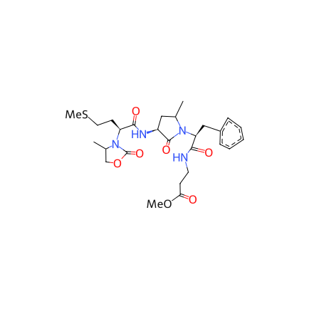 COC(=O)CCNC(=O)[C@H](Cc1ccccc1)N1C(=O)[C@@H](NC(=O)[C@H](CCSC)N2C(=O)OCC2C)CC1C